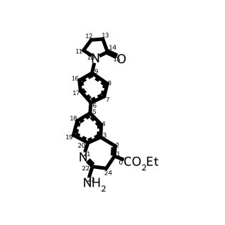 CCOC(=O)C1=Cc2cc(-c3ccc(N4CCCC4=O)cc3)ccc2N=C(N)C1